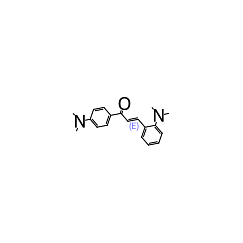 CN(C)c1ccc(C(=O)/C=C/c2ccccc2N(C)C)cc1